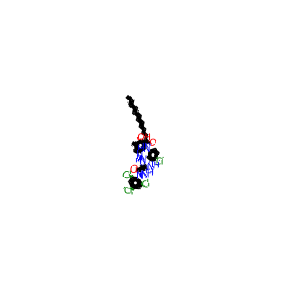 CCCCCCCCCCCCCC(=O)Nc1ccc(Cl)c(Nc2[nH]n(-c3c(Cl)cc(Cl)cc3Cl)c(=O)c2/N=N/c2ccc(O)c(C)c2)c1